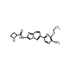 Nc1ncc(-c2ccc3nc(NC(=O)C4CCN4)cn3c2)nc1OCC(F)(F)F